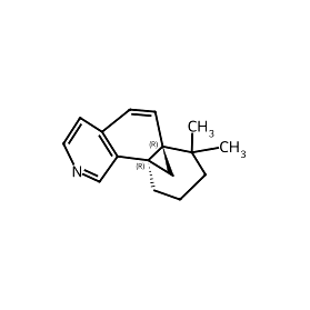 CC1(C)CCC[C@@]23C[C@@]12C=Cc1ccncc13